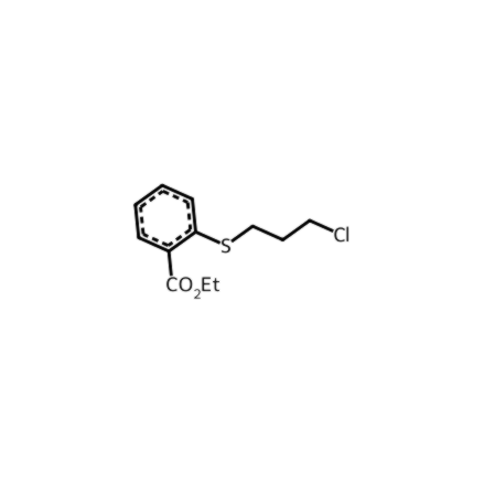 CCOC(=O)c1ccccc1SCCCCl